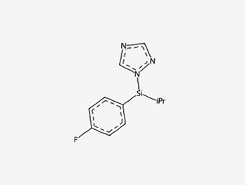 CC(C)[Si](c1ccc(F)cc1)n1cncn1